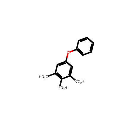 O=C(O)c1cc(Oc2ccccc2)cc(C(=O)O)c1S(=O)(=O)O